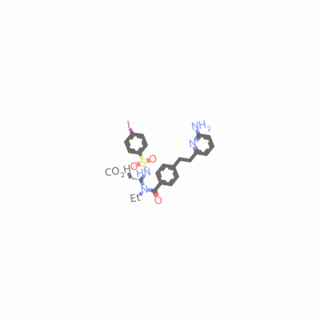 CCN(C(=O)c1ccc(CCc2cccc(N)n2)cc1)[C@H](CC(=O)O)NS(=O)(=O)c1ccc(I)cc1